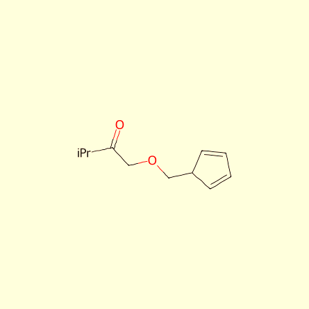 CC(C)C(=O)COCC1C=CC=C1